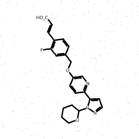 O=C(O)/C=C/c1ccc(COc2ccc(-c3ccnn3C3CCCCO3)nc2)cc1F